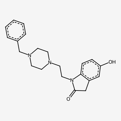 O=C1Cc2cc(O)ccc2N1CCN1CCN(Cc2ccccc2)CC1